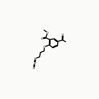 COC(=O)c1cc(C(C)=O)ccc1OCCCN=[N+]=[N-]